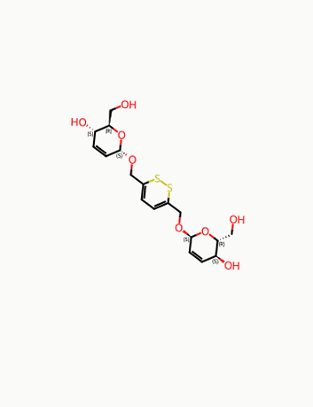 OC[C@H]1O[C@H](OCC2=CC=C(CO[C@@H]3C=C[C@H](O)[C@@H](CO)O3)SS2)C=C[C@@H]1O